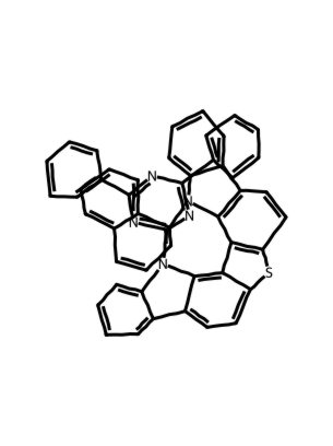 c1ccc(-c2nc(-c3ccccc3)nc(-n3c4ccccc4c4ccc5sc6ccc7c8ccccc8n(-c8cccc9ccccc89)c7c6c5c43)n2)cc1